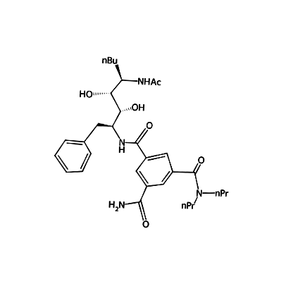 CCCC[C@@H](NC(C)=O)[C@@H](O)[C@H](O)[C@H](Cc1ccccc1)NC(=O)c1cc(C(N)=O)cc(C(=O)N(CCC)CCC)c1